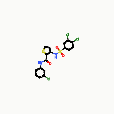 O=C(Nc1cccc(Cl)c1)c1sccc1NS(=O)(=O)c1ccc(Cl)c(Cl)c1